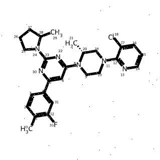 Cc1ccc(-c2cc(N3CCN(c4ncccc4Cl)C[C@H]3C)nc(N3CCCC3C)n2)cc1F